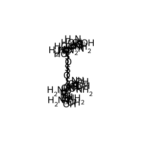 NCC1O[C@H](O[C@@H]2C(N)C[C@@H](N)[C@@H](O)C2O[C@@H]2O[C@H](CSCCOCCSSCCOCCSC[C@H]3O[C@H](O[C@H]4C(N)C[C@H](N)C(O[C@H]5OC(CN)[C@@H](O)C[C@@H]5N)[C@@H]4O)C(O)C(N)[C@@H]3O)[C@H](OC3O[C@@H](CN)[C@@H](O)C(O)[C@H]3N)[C@@H]2O)C(N)[C@@H](O)[C@@H]1O